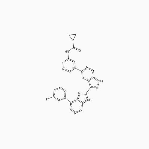 O=C(Nc1cncc(-c2cc3c(-c4nc5c(-c6cccc(F)c6)cncc5[nH]4)n[nH]c3cn2)c1)C1CC1